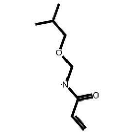 C=CC(=O)[N]COCC(C)C